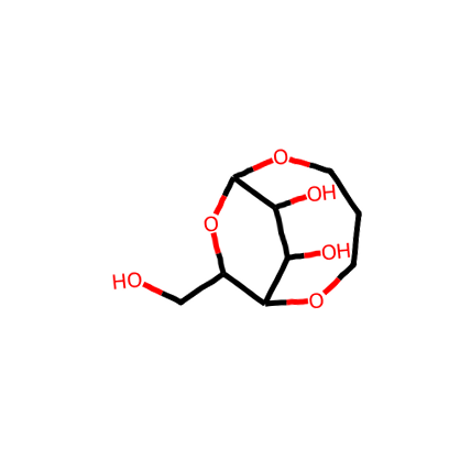 OCC1OC2OCCCOC1C(O)C2O